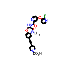 CN1C(=O)[C@@H](NC(=O)c2cc(Oc3cccnc3F)ccn2)COc2ccc(C#CC3CCN(C(=O)O)CC3)cc21